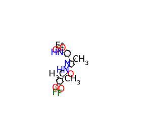 CCS(=O)(=O)Nc1cccc(-c2nc(NC(=O)C(C)(C)c3ccc4c(c3)OC(F)(F)O4)ccc2C)c1